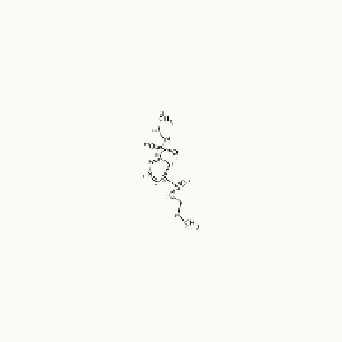 CCCOC(=O)c1cncc(S(=O)(=O)CCC)c1